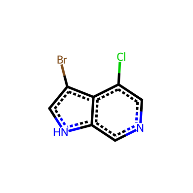 Clc1cncc2[nH]cc(Br)c12